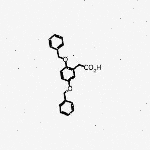 O=C(O)Cc1cc(OCc2ccccc2)ccc1OCc1ccccc1